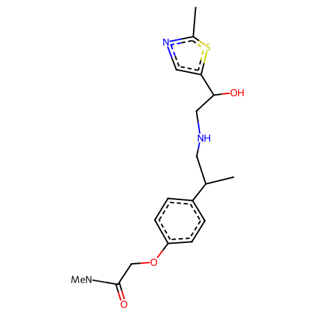 CNC(=O)COc1ccc(C(C)CNCC(O)c2cnc(C)s2)cc1